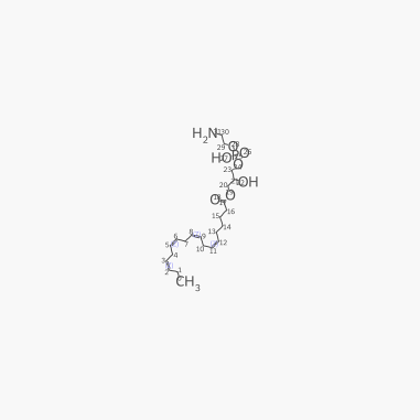 CC/C=C\C/C=C\C/C=C\C/C=C\CCCCC(=O)OCC(O)COP(=O)(O)OCCN